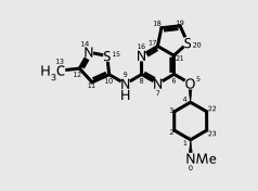 CN[C@H]1CC[C@@H](Oc2nc(Nc3cc(C)ns3)nc3ccsc23)CC1